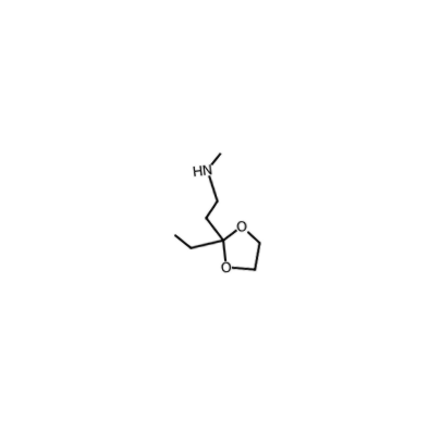 CCC1(CCNC)OCCO1